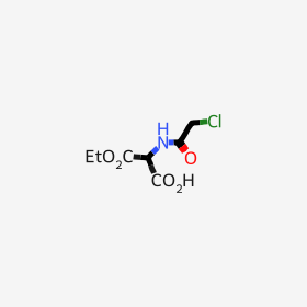 CCOC(=O)C(NC(=O)CCl)C(=O)O